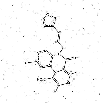 CC1=C(C(=O)O)C(c2cccc(Cl)c2)C(C(=O)OCC=Cc2cccs2)=C(C)N1